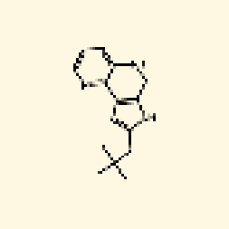 CC(C)(C)Cc1cc2c([nH]1)CNc1cccnc1-2